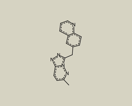 Cc1ccc2nnc(Cc3ccc4ncccc4c3)n2n1